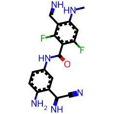 CNc1cc(F)c(C(=O)Nc2ccc(N)c(C(=N)C#N)c2)c(F)c1C=N